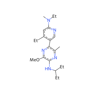 CCc1cc(N(C)CC)ncc1-c1nc(OC)c(NC(CC)CC)nc1C